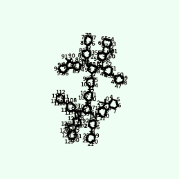 CC1(C)c2ccccc2-c2ccc(N(c3ccc(-c4ccccc4)cc3)c3cc(-c4ccc(-c5ccc(-c6cc(N(c7ccc(-c8ccccc8)cc7)c7ccc8c(c7)C(C)(C)c7ccccc7-8)cc(N(c7ccc(-c8ccccc8)cc7)c7ccc8c(c7)C(C)(C)c7ccccc7-8)c6)cc5)cc4)cc(N(c4ccc(-c5ccccc5)cc4)c4ccc5c(c4)C(C)(C)c4ccccc4-5)c3)cc21